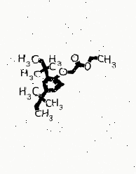 CCOC(=O)COc1ccc(C(C)(C)CC)cc1C(C)(C)CC